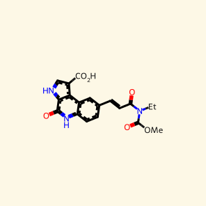 CCN(C(=O)C=Cc1ccc2[nH]c(=O)c3[nH]cc(C(=O)O)c3c2c1)C(=O)OC